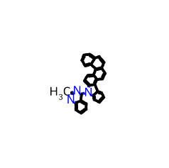 Cc1nc(-n2c3ccccc3c3c4ccc5ccc6ccccc6c5c4ccc32)c2ccccc2n1